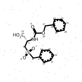 O=C(N[C@H](CS(=O)(=O)Cc1ccccc1)C(=O)O)OCc1ccccc1